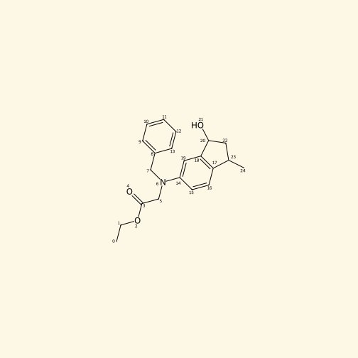 CCOC(=O)CN(Cc1ccccc1)c1ccc2c(c1)C(O)CC2C